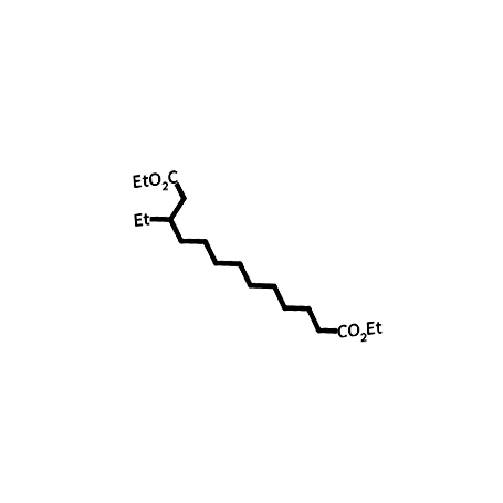 CCOC(=O)CCCCCCCCCC(CC)CC(=O)OCC